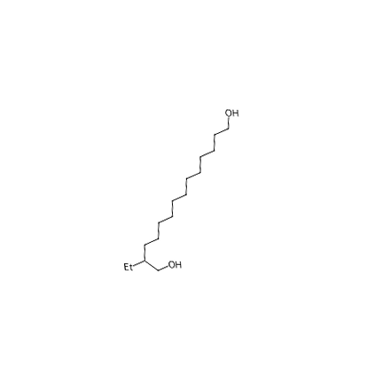 CCC(CO)CCCCCCCCCCCCO